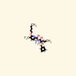 C=CCCCOc1nc(C(=O)NC(=O)C(CC=C)(OCc2ccccc2)C(F)(F)F)ccc1C(F)(F)F